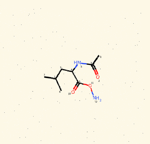 CC(=O)NC(CC(C)C)C(=O)ON